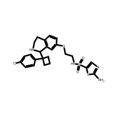 Nc1ncc(S(=O)(=O)NCCOc2ccc3c(c2)C(C2(c4ccc(Cl)cc4)CCC2)NCC3)s1